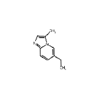 CCc1ccc2ncc(C)n2c1